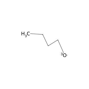 CCCC[3O]